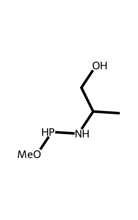 COPNC(C)CO